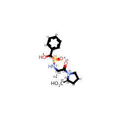 C[C@H](N[PH](=O)C(O)c1ccccc1)C(=O)N1CCC[C@H]1C(=O)O